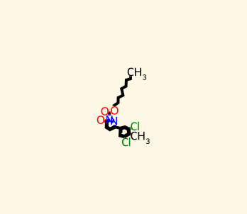 CCCCCCCCCOC(=O)n1nc(-c2cc(Cl)c(C)c(Cl)c2)ccc1=O